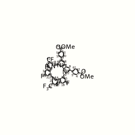 COC(=O)c1ccc(-c2ccc3[n+](c2)Cc2cc(F)cc(F)c2-c2ccc(C(F)(F)F)c[n+]2Cc2cc(F)cc(F)c2-c2ccc(C(F)(F)F)c[n+]2C[n+]2cc(-c4ccc(C(=O)OC)cc4)ccc2-3)cc1